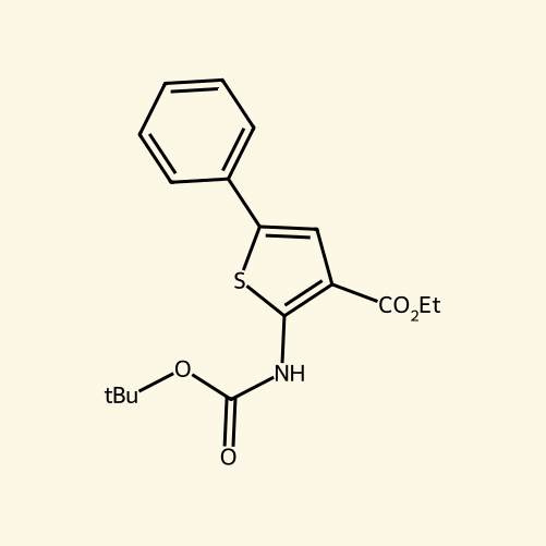 CCOC(=O)c1cc(-c2ccccc2)sc1NC(=O)OC(C)(C)C